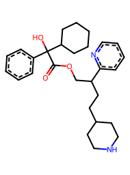 O=C(OCC(CCC1CCNCC1)c1ccccn1)C(O)(c1ccccc1)C1CCCCC1